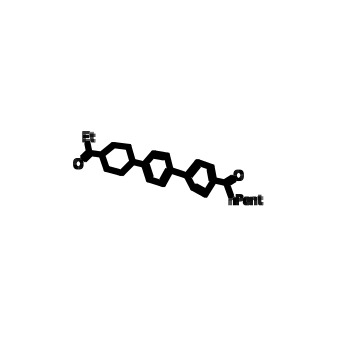 CCCCCC(=O)c1ccc(-c2ccc(C3CCC(C(=O)CC)CC3)cc2)cc1